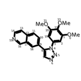 COc1cc(-n2nncc2-c2ccc3ccncc3c2)cc(OC)c1OC